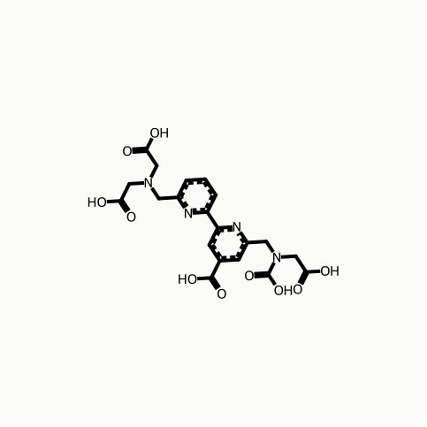 O=C(O)CN(CC(=O)O)Cc1cccc(-c2cc(C(=O)O)cc(CN(CC(=O)O)C(=O)O)n2)n1